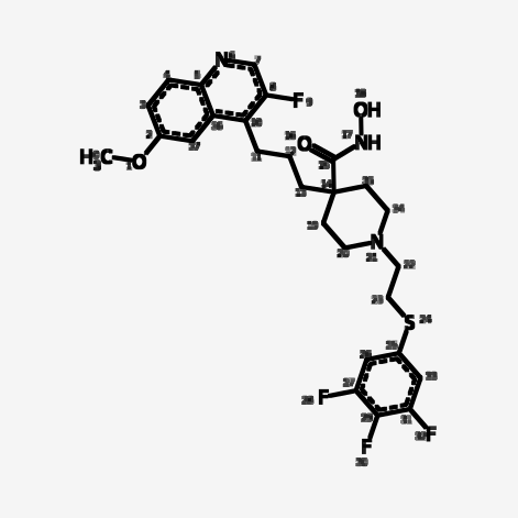 COc1ccc2ncc(F)c(CCCC3(C(=O)NO)CCN(CCSc4cc(F)c(F)c(F)c4)CC3)c2c1